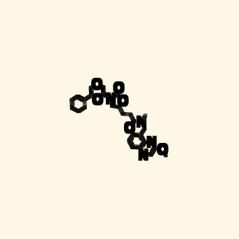 COc1cnc2cccc(CN(C)C(=O)CCC3CN(C4=COC=C(C5=CC=CCC5)O4)C(=O)O3)c2n1